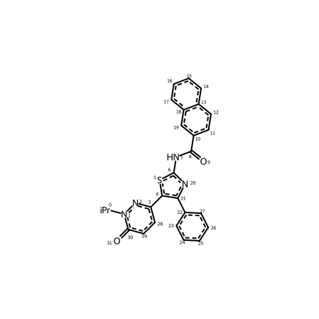 CC(C)n1nc(-c2sc(NC(=O)c3ccc4ccccc4c3)nc2-c2ccccc2)ccc1=O